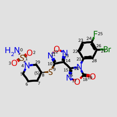 NS(=O)(=O)N1CCC[C@H](Sc2nonc2-c2noc(=O)n2-c2ccc(F)c(Br)c2)C1